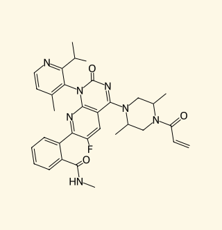 C=CC(=O)N1CC(C)N(c2nc(=O)n(-c3c(C)ccnc3C(C)C)c3nc(-c4ccccc4C(=O)NC)c(F)cc23)CC1C